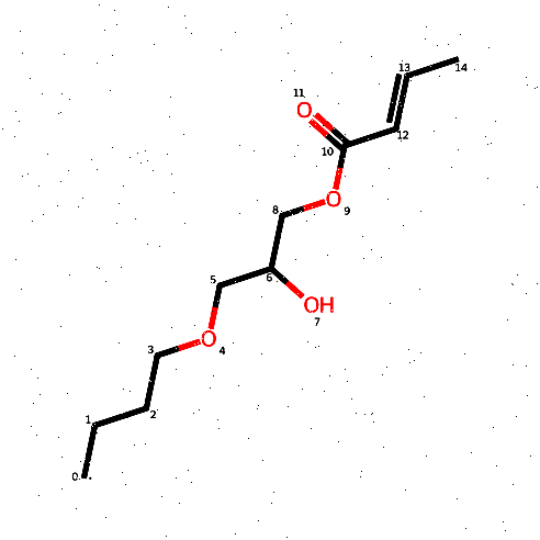 [CH2]CCCOCC(O)COC(=O)C=CC